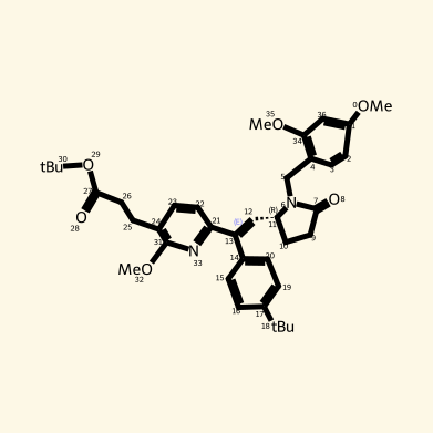 COc1ccc(CN2C(=O)CC[C@@H]2/C=C(\c2ccc(C(C)(C)C)cc2)c2ccc(CCC(=O)OC(C)(C)C)c(OC)n2)c(OC)c1